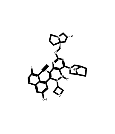 C#Cc1c(F)ccc2cc(O)cc(C3=C(F)c4nc(OC[C@@]56CCCN5C[C@H](F)C6)nc(N5CC6CCC(C5)N6)c4[S+]([O-])N3C3COC3)c12